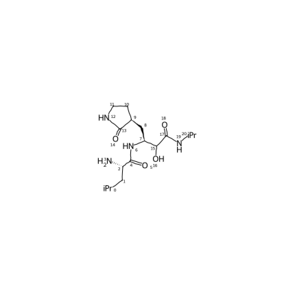 CC(C)C[C@H](N)C(=O)N[C@@H](C[C@@H]1CCNC1=O)C(O)C(=O)NC(C)C